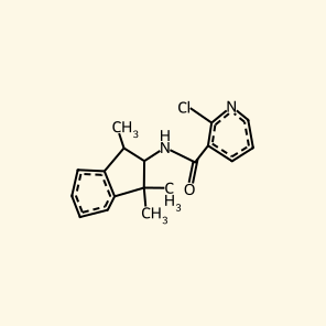 CC1c2ccccc2C(C)(C)C1NC(=O)c1cccnc1Cl